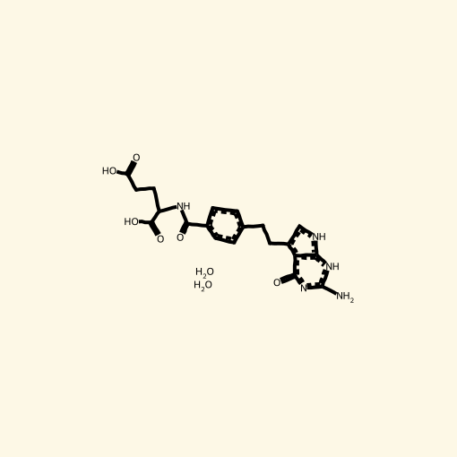 Nc1nc(=O)c2c(CCc3ccc(C(=O)NC(CCC(=O)O)C(=O)O)cc3)c[nH]c2[nH]1.O.O